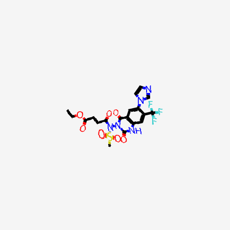 CCOC(=O)CCC(=O)N(n1c(=O)[nH]c2cc(C(F)(F)F)c(-n3ccnc3)cc2c1=O)S(C)(=O)=O